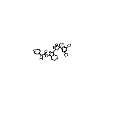 O=C(NC1CCOCC1)Oc1sc(C2=NOC(c3cc(Cl)cc(Cl)c3)(C(F)(F)F)C2)c2c1CCCC2